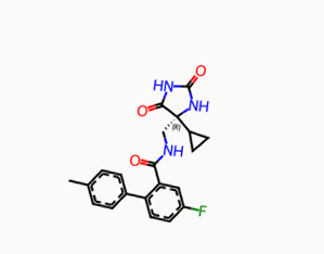 Cc1ccc(-c2ccc(F)cc2C(=O)NC[C@@]2(C3CC3)NC(=O)NC2=O)cc1